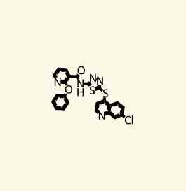 O=C(Nc1nnc(Sc2ccnc3cc(Cl)ccc23)s1)c1cccnc1Oc1ccccc1